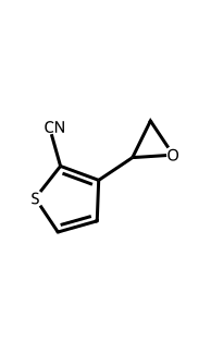 N#Cc1sccc1C1CO1